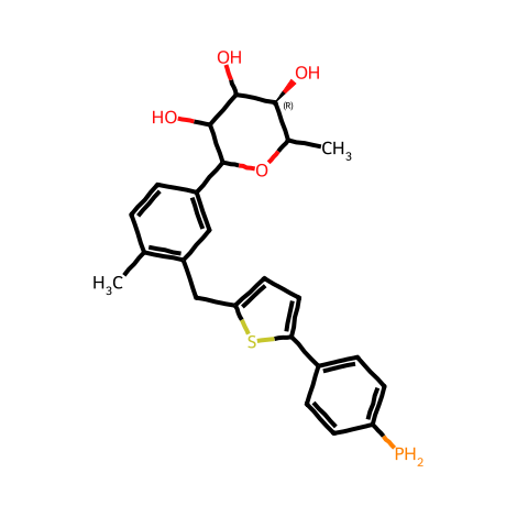 Cc1ccc(C2OC(C)[C@H](O)C(O)C2O)cc1Cc1ccc(-c2ccc(P)cc2)s1